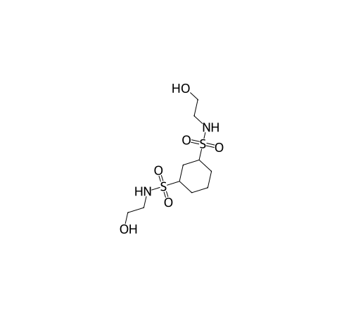 O=S(=O)(NCCO)C1CCCC(S(=O)(=O)NCCO)C1